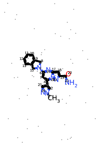 Cn1cc(-c2cc(N3Cc4ccccc4C3)nc3cc(C(N)=O)nn23)cn1